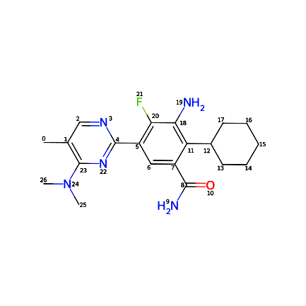 Cc1cnc(-c2cc(C(N)=O)c(C3CCCCC3)c(N)c2F)nc1N(C)C